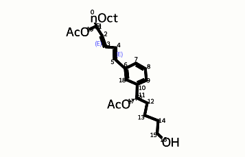 CCCCCCCC[C@@H](/C=C/C=C/c1cccc([C@H](CCCCO)OC(C)=O)c1)OC(C)=O